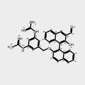 N=C(N)Nc1cc(COc2ccc3ccccc3c2-c2c(O)c(C=O)cc3ccccc23)cc(NC(=N)N)c1